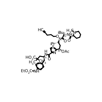 C#CCCCON(C(=O)[C@@H](NC(=O)[C@H]1CCCCN1C)[C@@H](C)CC)[C@H](C[C@@H](OC(C)=O)c1nc(C(=O)N[C@@H](Cc2ccc(NC(=O)OCC)cc2)CC(C)(C)C(=O)O)cs1)C(C)C